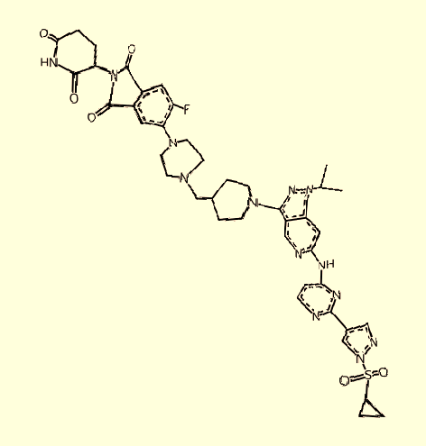 CC(C)n1nc(N2CCC(CN3CCN(c4cc5c(cc4F)C(=O)N(C4CCC(=O)NC4=O)C5=O)CC3)CC2)c2cnc(Nc3ccnc(-c4cnn(S(=O)(=O)C5CC5)c4)n3)cc21